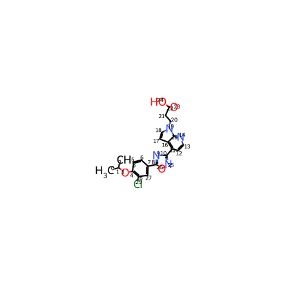 CC(C)Oc1ccc(-c2nc(-c3ccnc4c3ccn4CCC(=O)O)no2)cc1Cl